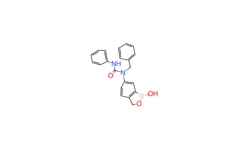 O=C(Nc1ccccc1)N(Cc1ccccc1)c1ccc2c(c1)B(O)OC2